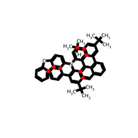 CC(C)(C)c1cc(-c2cccc3cccc(-c4ccccc4N(c4ccc5oc6ccccc6c5c4)c4ccc(C(C)(C)C)cc4-c4ccccc4)c23)cc(C(C)(C)C)c1